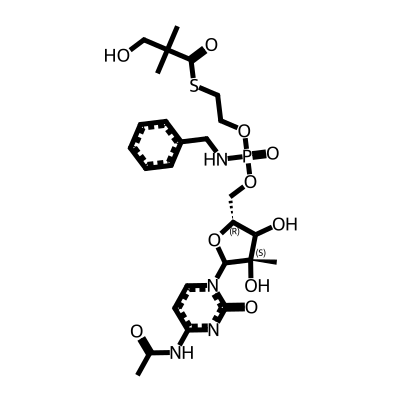 CC(=O)Nc1ccn(C2O[C@H](COP(=O)(NCc3ccccc3)OCCSC(=O)C(C)(C)CO)C(O)[C@]2(C)O)c(=O)n1